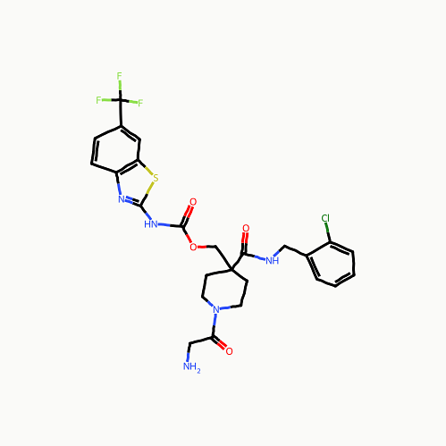 NCC(=O)N1CCC(COC(=O)Nc2nc3ccc(C(F)(F)F)cc3s2)(C(=O)NCc2ccccc2Cl)CC1